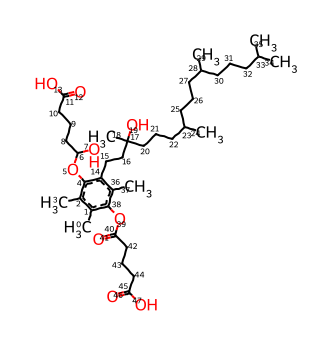 Cc1c(C)c(OC(O)CCCC(=O)O)c(CCC(C)(O)CCCC(C)CCCC(C)CCCC(C)C)c(C)c1OC(=O)CCCC(=O)O